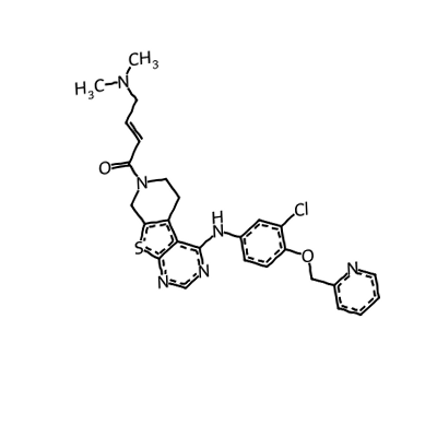 CN(C)CC=CC(=O)N1CCc2c(sc3ncnc(Nc4ccc(OCc5ccccn5)c(Cl)c4)c23)C1